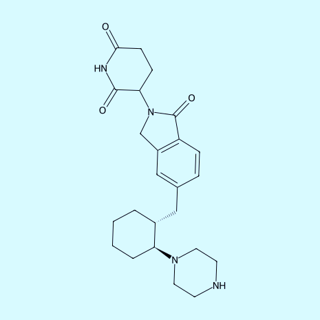 O=C1CCC(N2Cc3cc(C[C@H]4CCCC[C@@H]4N4CCNCC4)ccc3C2=O)C(=O)N1